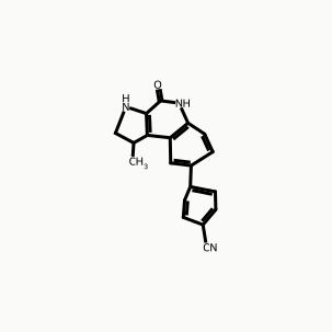 CC1CNc2c1c1cc(-c3ccc(C#N)cc3)ccc1[nH]c2=O